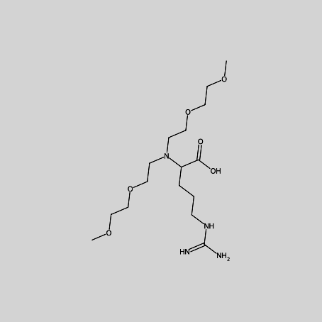 COCCOCCN(CCOCCOC)C(CCCNC(=N)N)C(=O)O